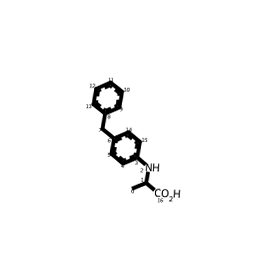 CC(Nc1ccc(Cc2ccccc2)cc1)C(=O)O